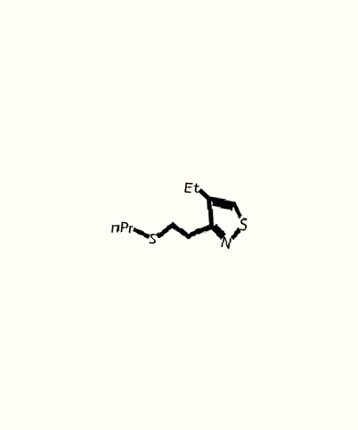 CCCSCCc1nscc1CC